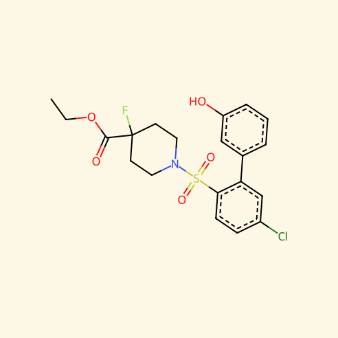 CCOC(=O)C1(F)CCN(S(=O)(=O)c2ccc(Cl)cc2-c2cccc(O)c2)CC1